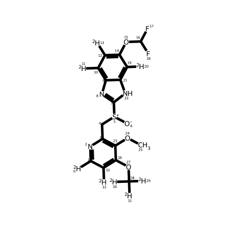 [2H]c1nc(C[S+]([O-])c2nc3c([2H])c([2H])c(OC(F)F)c([2H])c3[nH]2)c(OC)c(OC([2H])([2H])[2H])c1[2H]